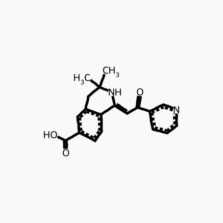 CC1(C)Cc2cc(C(=O)O)ccc2C(=CC(=O)c2cccnc2)N1